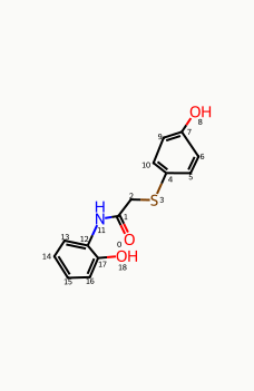 O=C(CSc1ccc(O)cc1)Nc1ccccc1O